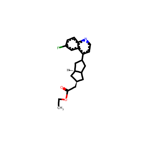 CCOC(=O)C[C@@H]1CC2CC(c3ccnc4ccc(F)cc34)C[C@@H]2C1